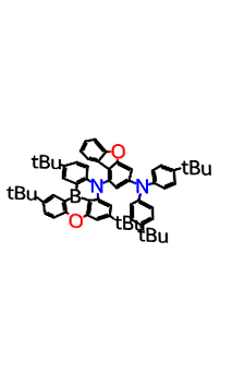 CC(C)(C)c1ccc(N(c2ccc(C(C)(C)C)cc2)c2cc(N3c4ccc(C(C)(C)C)cc4B4c5cc(C(C)(C)C)ccc5Oc5cc(C(C)(C)C)cc3c54)c3c(c2)oc2ccccc23)cc1